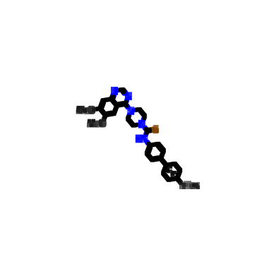 CCCCCCC12CCC(c3ccc(NC(=S)N4CCN(c5ncnc6cc(OC)c(OC)cc56)CC4)cc3)(CC1)CC2